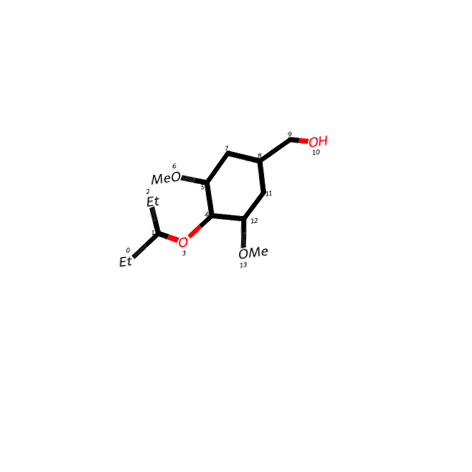 CCC(CC)OC1C(OC)CC(CO)CC1OC